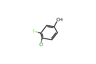 [CH]c1ccc(Cl)c(F)c1